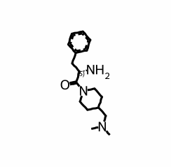 CN(C)CC1CCN(C(=O)[C@@H](N)Cc2ccccc2)CC1